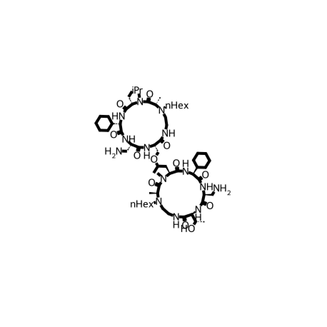 CCCCCCN1CCNC(=O)[C@H](COC(C)C[C@H]2C(=O)N[C@@H](C3CCCCC3)C(=O)N[C@@H](CN)C(=O)N[C@@H]([C@H](C)O)C(=O)NCCN(CCCCCC)[C@@H](C)C(=O)N2C)NC(=O)[C@H](CN)NC(=O)[C@H](C2CCCCC2)NC(=O)[C@H](CC(C)C)N(C)C(=O)[C@@H]1C